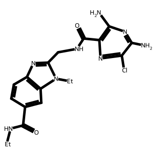 CCNC(=O)c1ccc2nc(CNC(=O)c3nc(Cl)c(N)nc3N)n(CC)c2c1